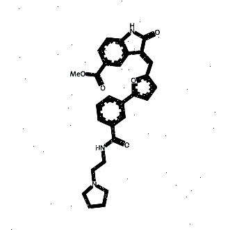 COC(=O)c1ccc2c(c1)/C(=C\c1ccc(-c3cccc(C(=O)NCCN4CCCC4)c3)o1)C(=O)N2